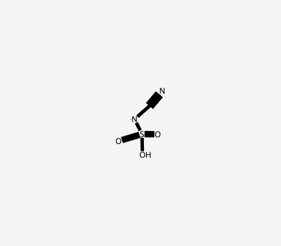 N#C[N]S(=O)(=O)O